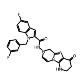 O=C1CCNc2c1nc1n2C=CN(NC(=O)c2cc3cc(F)ccc3n2Cc2cccc(F)c2)C1